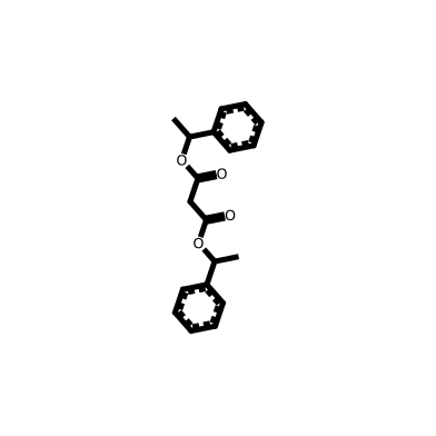 CC(OC(=O)CC(=O)OC(C)c1ccccc1)c1ccccc1